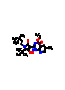 CCOP1(=O)N=C(C2=C(O)C(C(C)(C)C)N(CCC(C)(C)C)C2=O)Nc2ncc(C)cc21